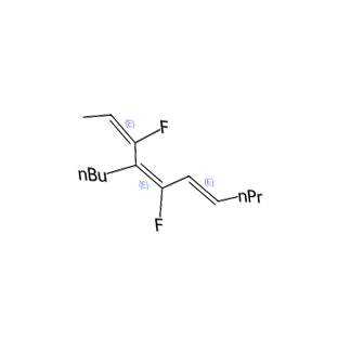 C\C=C(F)/C(CCCC)=C(F)\C=C\CCC